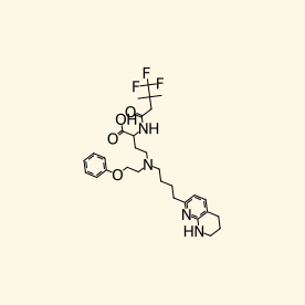 CC(C)(CC(=O)NC(CCN(CCCCc1ccc2c(n1)NCCC2)CCOc1ccccc1)C(=O)O)C(F)(F)F